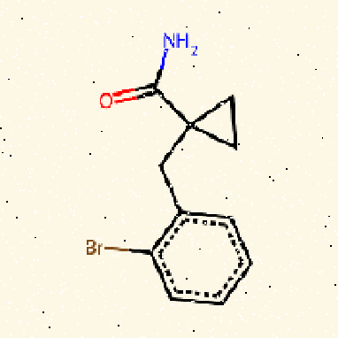 NC(=O)C1(Cc2ccccc2Br)CC1